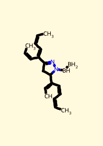 BBN1N=C(C(/C=C\C)=C/C=C\C)CC1C(/C=C\C=C/C)=C/C